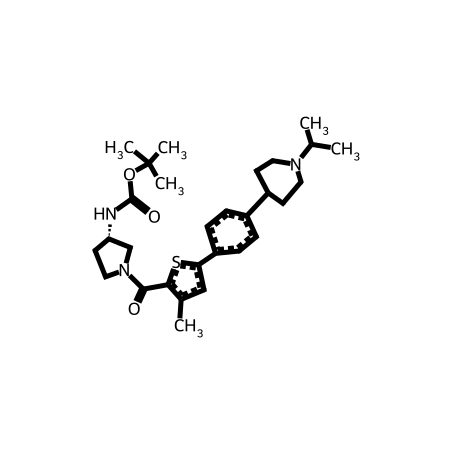 Cc1cc(-c2ccc(C3CCN(C(C)C)CC3)cc2)sc1C(=O)N1CC[C@H](NC(=O)OC(C)(C)C)C1